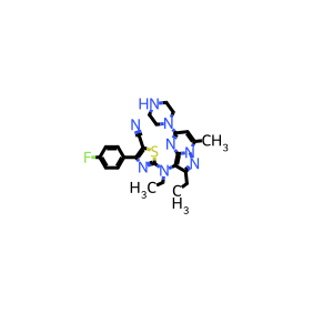 CCc1nn2c(C)cc(N3CCNCC3)nc2c1N(CC)c1nc(-c2ccc(F)cc2)c(C#N)s1